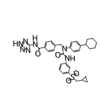 O=C(Nc1nn[nH]n1)c1ccc(CN(C(=O)Nc2cccc(S(=O)(=O)CC3CC3)c2)c2ccc(C3CCCCC3)cc2)cc1